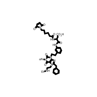 CCCn1c(=O)c2c(nc(Cc3ccccc3)n2CCNCC)n(CCc2cccc(NC(=O)C(CC(=O)O)NC(=O)CCCCCN3C(=O)C=CC3=O)c2)c1=O